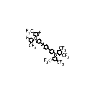 CC(C)(c1ccc(-c2ccc(N(c3cc(C(F)(F)F)cc(C(F)(F)F)c3)c3cc(C(F)(F)F)cc(C(F)(F)F)c3)cc2)cc1)c1ccc(N(c2cc(F)cc(C(F)(F)F)c2)c2cc(F)cc(C(F)(F)F)c2)cc1